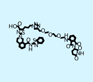 O=C1CCC(N2C(=O)c3cccc(NCCOCCOCCOCc4cn(CCCc5sc(N6CCc7cccc(C(=O)Nc8nc9ccccc9s8)c7C6)nc5C(=O)O)nn4)c3C2=O)C(=O)N1